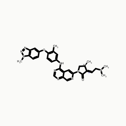 Cc1cc(Nc2ncnc3cnc(N4C[C@@H](C)/C(=C\CN(C)C)C4=O)cc23)ccc1Oc1ccc2c(c1)nnn2C